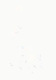 C#CCN(Cc1ccc2nc(C)[nH]c(=O)c2c1)c1ccc(C(=O)NCCCC(=O)NCCC[Si](C)(C)O)cc1